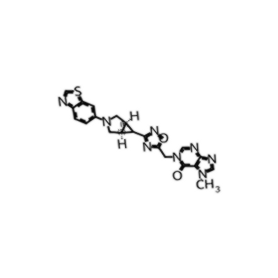 Cn1cnc2ncn(Cc3nc(C4[C@H]5CN(c6ccc7ncsc7c6)C[C@@H]45)no3)c(=O)c21